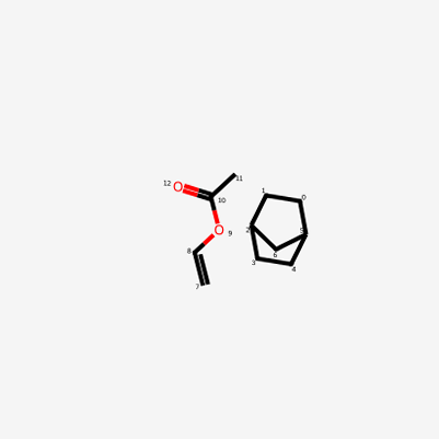 C1CC2CCC1C2.C=COC(C)=O